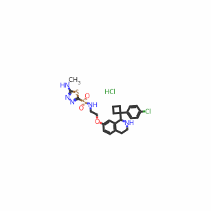 CNc1nnc(S(=O)(=O)NCCOc2ccc3c(c2)C(C2(c4ccc(Cl)cc4)CCC2)NCC3)s1.Cl